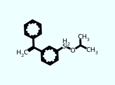 C=C(c1ccccc1)c1cccc([SiH2]OC(C)C)c1